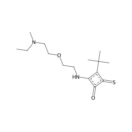 CCN(C)CCOCCNc1c(C(C)(C)C)c(=S)c1=O